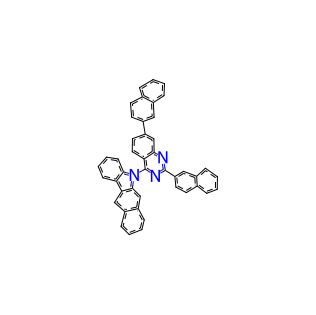 c1ccc2cc(-c3ccc4c(-n5c6ccccc6c6cc7ccccc7cc65)nc(-c5ccc6ccccc6c5)nc4c3)ccc2c1